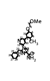 COCCOc1ccc(C)c(-c2cncc(N3N=C(C(N)=O)NC3Cc3ccccc3)c2)c1